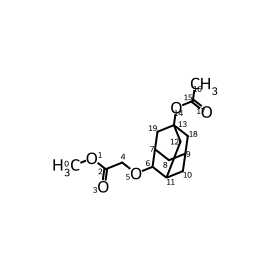 COC(=O)COC1C2CC3CC1CC(OC(C)=O)(C3)C2